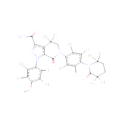 [2H]c1c([2H])c(-n2nc(C(N)=O)c3c2C(=O)N(c2c([2H])c([2H])c(N4C(=O)C([2H])([2H])CCC4([2H])[2H])c([2H])c2[2H])CC3([2H])[2H])c([2H])c([2H])c1OC